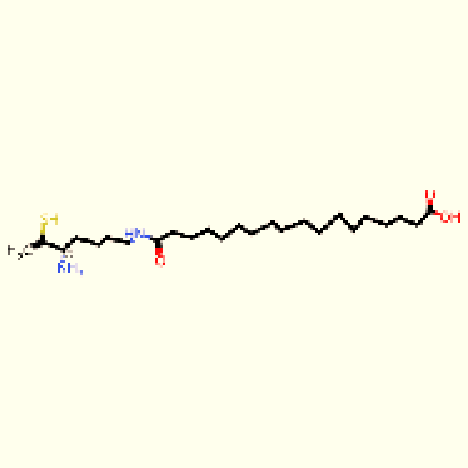 C=C(S)[C@@H](N)CCCCNC(=O)CCCCCCCCCCCCCCCCC(=O)O